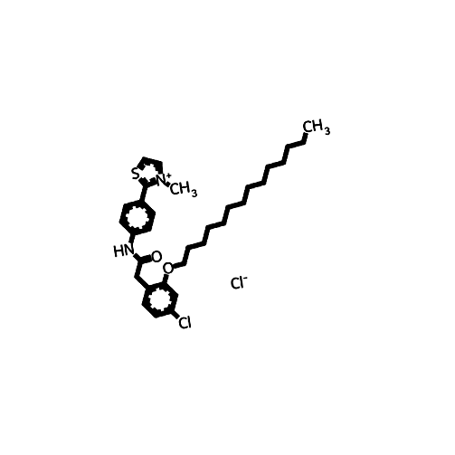 CCCCCCCCCCCCCCOc1cc(Cl)ccc1CC(=O)Nc1ccc(-c2scc[n+]2C)cc1.[Cl-]